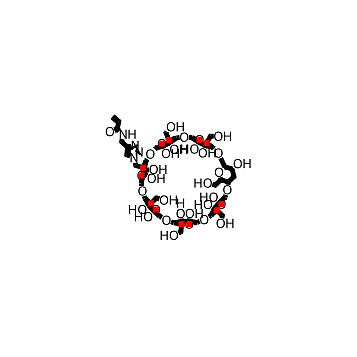 C=CC(=O)NCc1cn(CC2OC3OC4C(CO)OC(OC5C(CO)OC(OC6C(CO)OC(OC7CC(O)C(OC7CO)OC7C(CO)OC(OC8C(CO)OC(OC2C(O)C3O)C(O)C8O)C(O)C7O)C(O)C6O)C(O)C5O)C(O)C4O)nn1